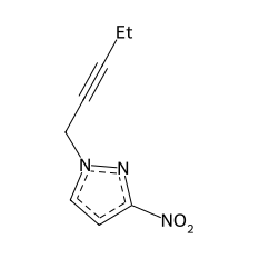 CCC#CCn1ccc([N+](=O)[O-])n1